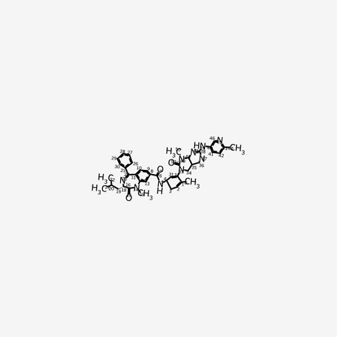 CC1=CCC(NC(=O)c2ccc3c(c2)N(C)C(=O)[C@H](CC(C)C)N=C3c2ccccc2)C=C1N1CC2C=NC(Nc3ccc(C)nc3)=NC2N(C)C1=O